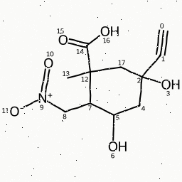 C#CC1(O)CC(O)C(C[N+](=O)[O-])C(C)(C(=O)O)C1